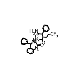 CN1C(=O)[C@@H](NC(=O)C(CCC(F)(F)F)C(C(N)=O)c2ccccc2)N=C(c2ccccc2)c2ccccc21